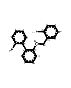 Fc1[c]cccc1-c1ccccc1OCc1ccccc1F